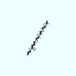 CCCOC(=O)CCCOCCOCCOCCOCC